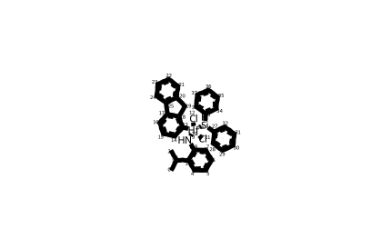 CC(C)c1ccccc1[NH][Hf]([Cl])([Cl])([c]1cccc2c1Cc1ccccc1-2)[SiH](c1ccccc1)c1ccccc1